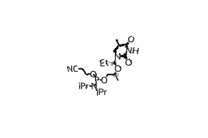 CC[C@@H](O[C@@H](C)COP(OCCC#N)N(C(C)C)C(C)C)n1cc(C)c(=O)[nH]c1=O